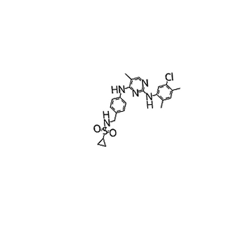 Cc1cc(C)c(Nc2ncc(C)c(Nc3ccc(CNS(=O)(=O)C4CC4)cc3)n2)cc1Cl